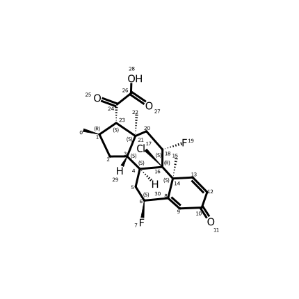 C[C@@H]1C[C@H]2[C@@H]3C[C@H](F)C4=CC(=O)C=C[C@]4(C)[C@@]3(Cl)[C@@H](F)C[C@]2(C)[C@H]1C(=O)C(=O)O